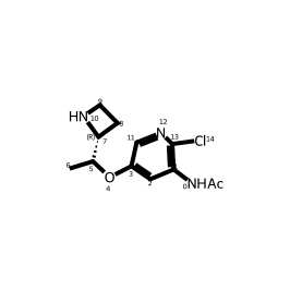 CC(=O)Nc1cc(OC(C)[C@H]2CCN2)cnc1Cl